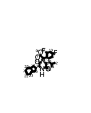 COC(=O)[C@@H](c1ccc(F)cc1F)N1C(=O)[C@@H](C2Cc3ccccc3C2)NC(=O)[C@H]1CC(C)C